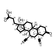 C[C@]12CC[C@H]3[C@@H]([C@H](C#N)C[C@]4(C#N)CC(=O)CC[C@]34C)[C@@H]1CC[C@@]2(O)CCC(=O)O